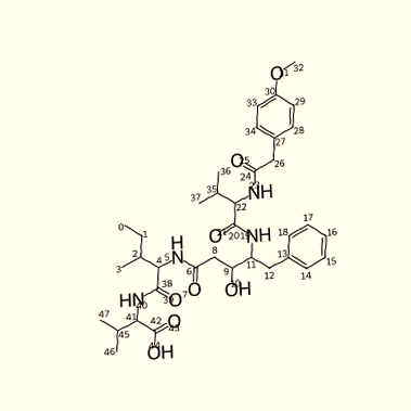 CCC(C)C(NC(=O)CC(O)C(Cc1ccccc1)NC(=O)C(NC(=O)Cc1ccc(OC)cc1)C(C)C)C(=O)NC(C(=O)O)C(C)C